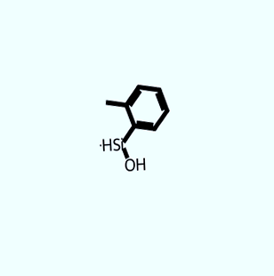 Cc1ccccc1[SiH]O